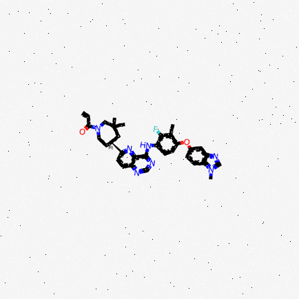 C=CC(=O)N1CC[C@H](c2ccc3ncnc(Nc4ccc(Oc5ccc6c(c5)ncn6C)c(C)c4F)c3n2)CC(C)(C)C1